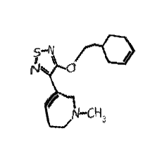 CN1CCC=C(c2nsnc2OCC2CC=CCC2)C1